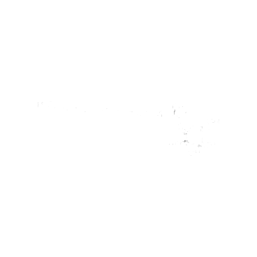 C=C(CO[C@H]1O[C@H](CO)[C@H](O)[C@H](O)[C@H]1O)CSCCCCCCCCCCCCCCCC